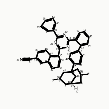 C[C@@H]1C[C@@H]2C[C@H](C)CC(c3ccc(-c4ccccc4-c4nc(-c5ccccc5)nc(-c5cccc6cc(C#N)ccc56)n4)cc3)(C1)C2